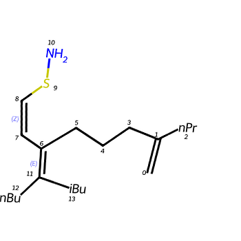 C=C(CCC)CCCC(/C=C\SN)=C(/CCCC)C(C)CC